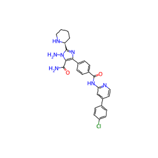 NC(=O)c1c(-c2ccc(C(=O)Nc3cc(-c4ccc(Cl)cc4)ccn3)cc2)nc([C@@H]2CCCCN2)n1N